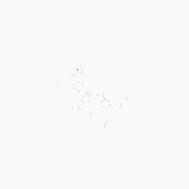 Br.CNC(=O)c1cc2c(cc1C)C(=N)N(CC(=O)c1cc(C(C)(C)C)c(O)c(C(C)(C)C)c1)C2